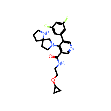 O=C(NCCOC1CC1)c1cncc(-c2cc(F)cc(F)c2)c1N1CCC2(CCCN2)C1